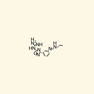 C=CCNC=Nc1cccc(-c2noc(NC(=N)N)n2)c1